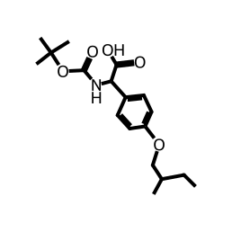 CCC(C)COc1ccc(C(NC(=O)OC(C)(C)C)C(=O)O)cc1